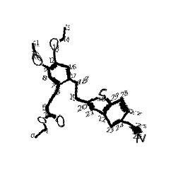 CCOC(=O)CCc1cc(OC)c(OCC)cc1CCc1cc2cc(C#N)ccc2s1